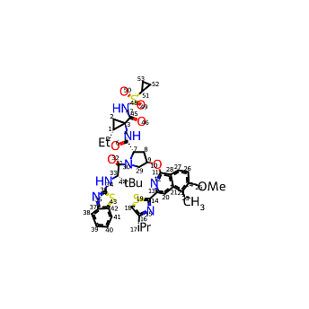 CC[C@@H]1C[C@]1(NC(=O)[C@@H]1C[C@@H](Oc2nc(-c3nc(C(C)C)cs3)cc3c(C)c(OC)ccc23)CN1C(=O)[C@@H](Nc1nc2ccccc2s1)C(C)(C)C)C(=O)NS(=O)(=O)C1CC1